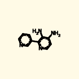 Nc1ccnc(-c2cccnc2)c1N